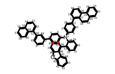 c1cc(-c2ccc(N(c3ccc(-c4cccc5c4ccc4ccccc45)cc3)c3ccccc3-c3cccc4oc5ccccc5c34)cc2)cc(-c2cccc3ccccc23)c1